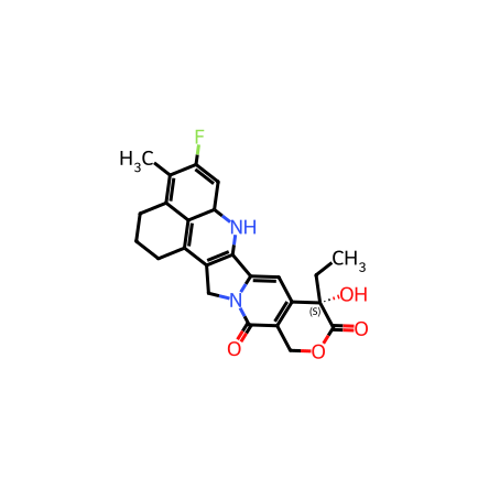 CC[C@@]1(O)C(=O)OCc2c1cc1n(c2=O)CC2=C1NC1C=C(F)C(C)=C3CCCC2=C31